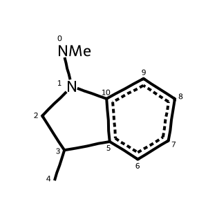 CNN1CC(C)c2ccccc21